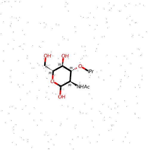 CC(=O)N[C@H]1[C](O)O[C@H](CO)[C@@H](O)[C@@H]1OC(C)C